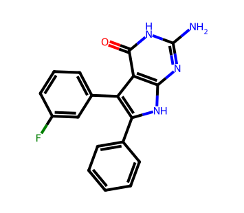 Nc1nc2[nH]c(-c3ccccc3)c(-c3cccc(F)c3)c2c(=O)[nH]1